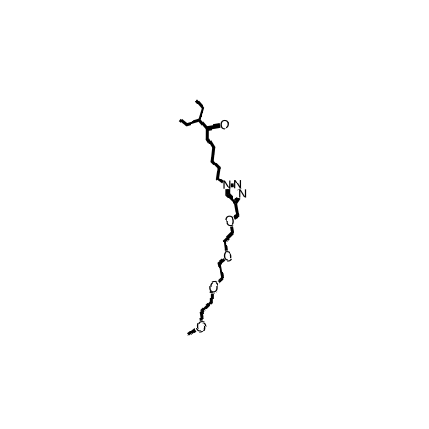 CCC(CC)C(=O)CCCCCn1cc(COCCOCCOCCOC)nn1